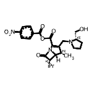 CC(C)[C@H]1C(=O)N2C(C(=O)OC(=O)c3ccc([N+](=O)[O-])cc3)=C(CN3CCC[C@H]3CO)[C@H](C)[C@H]12